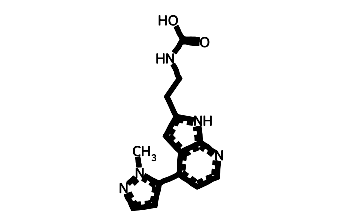 Cn1nccc1-c1ccnc2[nH]c(CCNC(=O)O)cc12